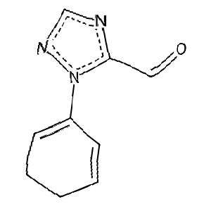 O=Cc1ncnn1C1=CCCC=C1